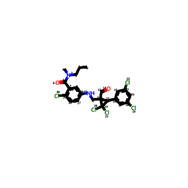 CCCN(C)C(=O)c1cc(NCC2(C=O)C(c3cc(Cl)cc(Cl)c3)C2(Cl)Cl)ccc1Cl